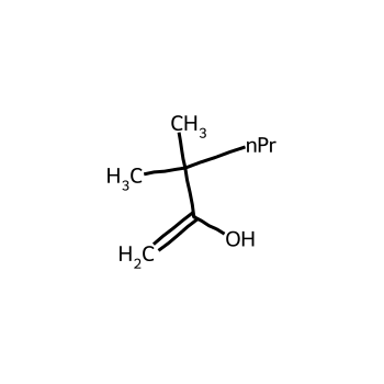 C=C(O)C(C)(C)CCC